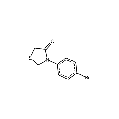 O=C1CSCN1c1ccc(Br)cc1